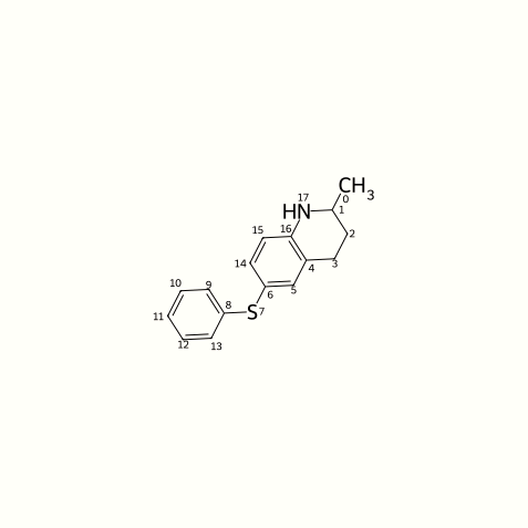 CC1CCc2cc(Sc3ccccc3)ccc2N1